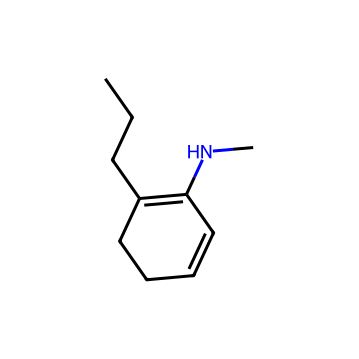 CCCC1=C(NC)C=CCC1